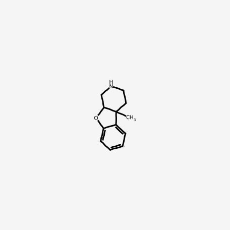 CC12CCNCC1Oc1cc[c]cc12